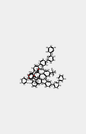 Fc1cccc(F)c1-c1c(-n2c3cc(-c4cccc(-c5ccccc5)n4)ccc3c3ccc(-c4cccc(-c5ccccc5)n4)cc32)cc(C(F)(F)F)cc1-n1c2cc(-c3cccc(-c4ccccc4)n3)ccc2c2ccc(-c3cccc(-c4ccccc4)n3)cc21